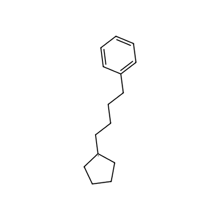 c1ccc(CCCC[C]2CCCC2)cc1